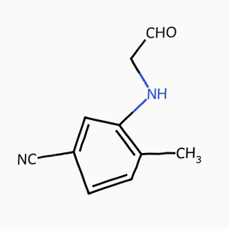 Cc1ccc(C#N)cc1NCC=O